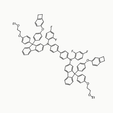 CCOCCOc1ccc(C2(c3ccc(Oc4ccc5c(c4)CC5)cc3)c3ccccc3-c3ccc(N(c4ccc(-c5ccc(N(c6ccc7c(c6)C(c6ccc(OCCOCC)cc6)(c6ccc(Oc8ccc9c(c8)CC9)cc6)c6ccccc6-7)c6ccc(F)cc6F)cc5)cc4)c4ccc(F)cc4F)cc32)cc1